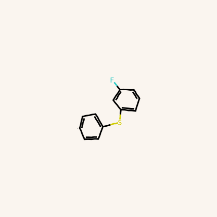 Fc1cccc(Sc2cc[c]cc2)c1